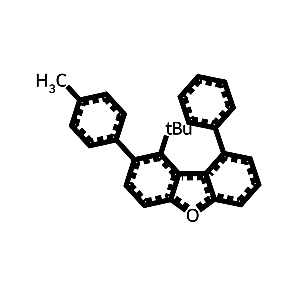 Cc1ccc(-c2ccc3oc4cccc(-c5ccccc5)c4c3c2C(C)(C)C)cc1